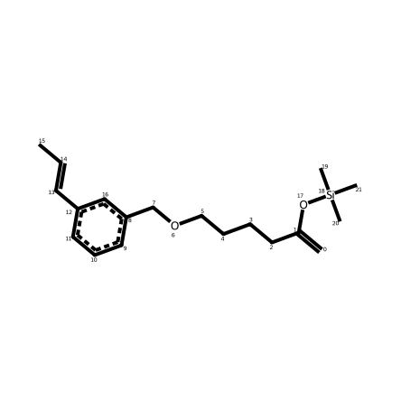 C=C(CCCCOCc1cccc(/C=C/C)c1)O[Si](C)(C)C